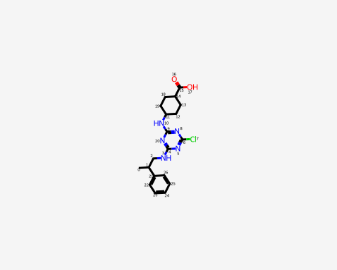 CC(CNc1nc(Cl)nc(NC2CCC(C(=O)O)CC2)n1)c1ccccc1